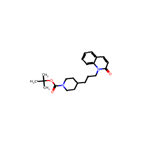 CC(C)(C)OC(=O)N1CCC(CCCn2c(=O)ccc3ccccc32)CC1